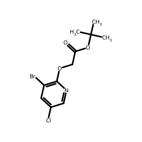 CC(C)(C)OC(=O)COc1ncc(Cl)cc1Br